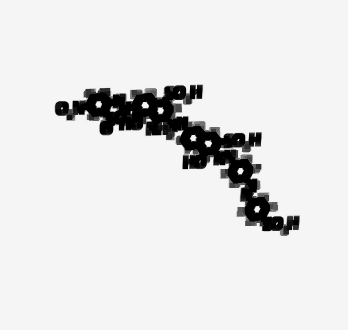 Nc1c(N=Nc2ccc3c(O)c(N=Nc4ccc(N=Nc5ccc(S(=O)(=O)O)cc5)cc4)c(S(=O)(=O)O)cc3c2)cc(S(=O)(=O)O)c2ccc(N=Nc3ccc([N+](=O)[O-])cc3S(=O)O)c(O)c12